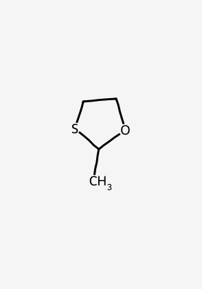 CC1OCCS1